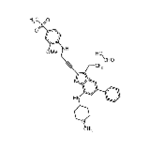 COc1cc(S(C)(=O)=O)ccc1NCC#Cc1nc2c(NC3CCN(C)CC3)cc(-c3ccccc3)cn2c1CC(F)(F)F.O=CO